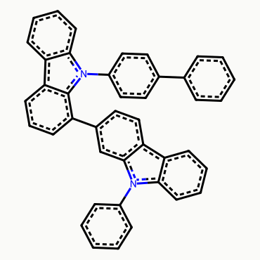 c1ccc(-c2ccc(-n3c4ccccc4c4cccc(-c5ccc6c7ccccc7n(-c7ccccc7)c6c5)c43)cc2)cc1